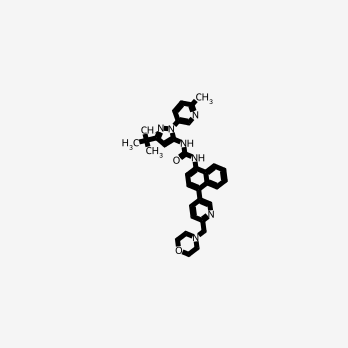 Cc1ccc(-n2nc(C(C)(C)C)cc2NC(=O)Nc2ccc(-c3ccc(CN4CCOCC4)nc3)c3ccccc23)cn1